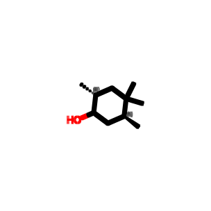 C[C@@H]1CC(C)(C)[C@@H](C)CC1O